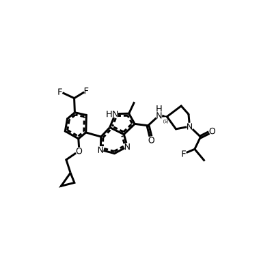 Cc1[nH]c2c(-c3cc(C(F)F)ccc3OCC3CC3)ncnc2c1C(=O)N[C@H]1CCN(C(=O)C(C)F)C1